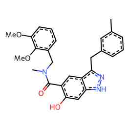 COc1cccc(CN(C)C(=O)c2cc3c(Cc4cccc(C)c4)n[nH]c3cc2O)c1OC